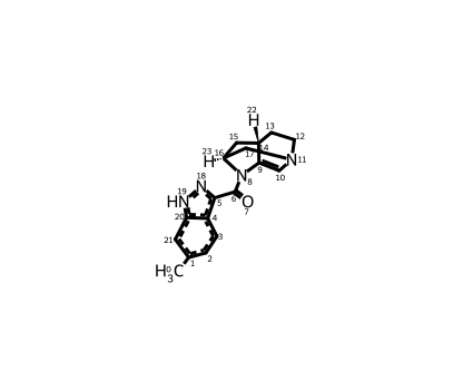 Cc1ccc2c(C(=O)N3C4=CN5CC[C@H]4C[C@H]3C5)n[nH]c2c1